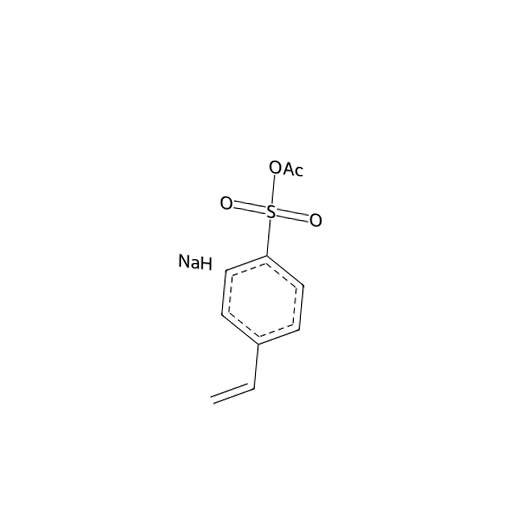 C=Cc1ccc(S(=O)(=O)OC(C)=O)cc1.[NaH]